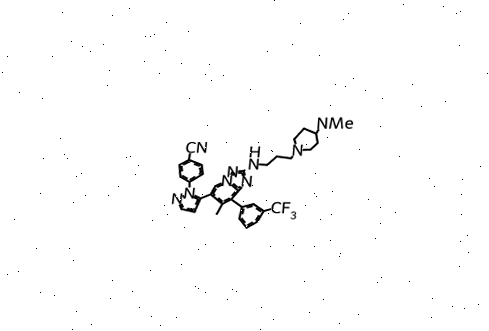 CNC1CCN(CCCNc2nc3c(-c4cccc(C(F)(F)F)c4)c(C)c(-c4ccnn4-c4ccc(C#N)cc4)cn3n2)CC1